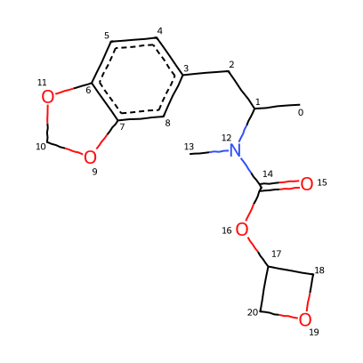 CC(Cc1ccc2c(c1)OCO2)N(C)C(=O)OC1COC1